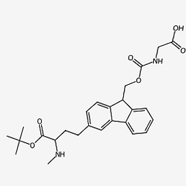 CNC(CCc1ccc2c(c1)-c1ccccc1C2COC(=O)NCC(=O)O)C(=O)OC(C)(C)C